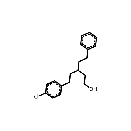 OCCC(CCc1ccccc1)CCc1ccc(Cl)cc1